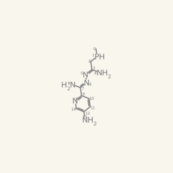 CPC/C(N)=N/N=C(\N)c1ccc(N)cn1